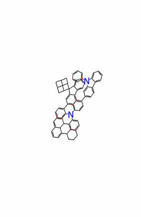 C1=CC2=CC=CC(c3ccccc3N(c3ccc(-c4ccc5c6ccccc6n(-c6ccccc6)c5c4)cc3)c3ccccc3-c3ccc4c(c3)C3(c5ccccc5-4)C4CC5CC6CC3C564)C2C(C2CCCCC2)=C1